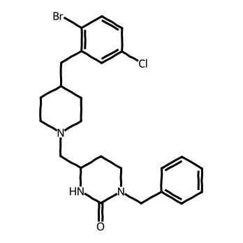 O=C1NC(CN2CCC(Cc3cc(Cl)ccc3Br)CC2)CCN1Cc1ccccc1